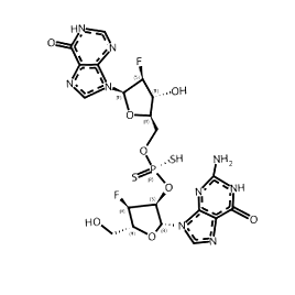 Nc1nc2c(ncn2[C@@H]2O[C@H](CO)[C@@H](F)[C@H]2O[P@](=S)(S)OC[C@H]2O[C@@H](n3cnc4c(=O)[nH]cnc43)[C@@H](F)[C@@H]2O)c(=O)[nH]1